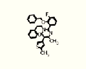 Cc1cc(-c2c(C)nc(-c3cccc(F)c3OCc3ccccc3)n(CCc3ccccc3)c2=O)cs1